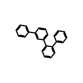 [c]1ccc(-c2ccccc2-c2ccccc2)cc1-c1ccccc1